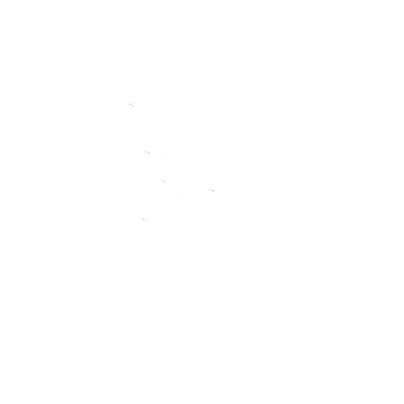 CCN1CCCC1CNC(=O)Nc1snc(OCc2cccc(Cl)c2Cl)c1C(N)=O